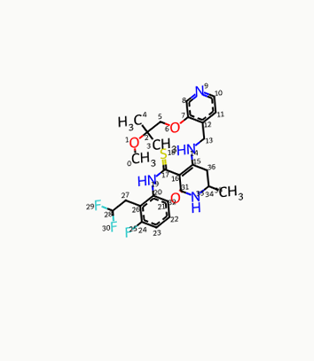 COC(C)(C)COc1cnccc1CNC1=C(C(=S)Nc2cccc(F)c2CC(F)F)C(=O)NC(C)C1